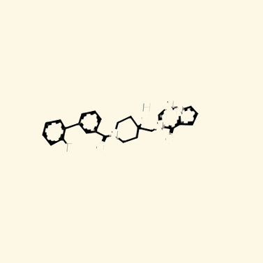 O=C(c1cccc(-c2ccccc2F)c1)N1CCC(O)(Cn2cnn3cccc3c2=O)CC1